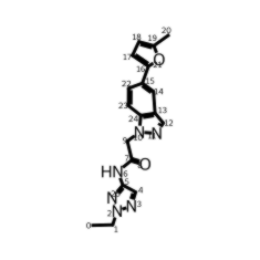 CCn1ncc(NC(=O)Cn2ncc3cc(-c4ccc(C)o4)ccc32)n1